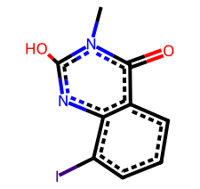 Cn1c(O)nc2c(I)cccc2c1=O